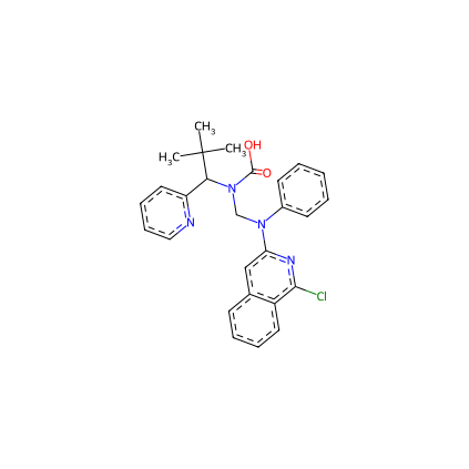 CC(C)(C)C(c1ccccn1)N(CN(c1ccccc1)c1cc2ccccc2c(Cl)n1)C(=O)O